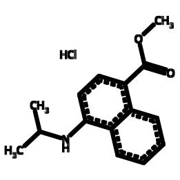 COC(=O)c1ccc(NC(C)C)c2ccccc12.Cl